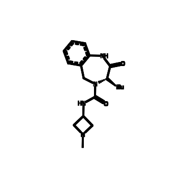 CC[C@H](C)[C@H]1C(=O)Nc2ccccc2CN1C(=O)NC1CN(C)C1